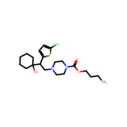 CCCCOC(=O)N1CCN(CC(c2ccc(Cl)s2)C2(O)CCCCC2)CC1